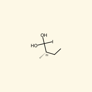 CC[C@H](C)C(O)(O)I